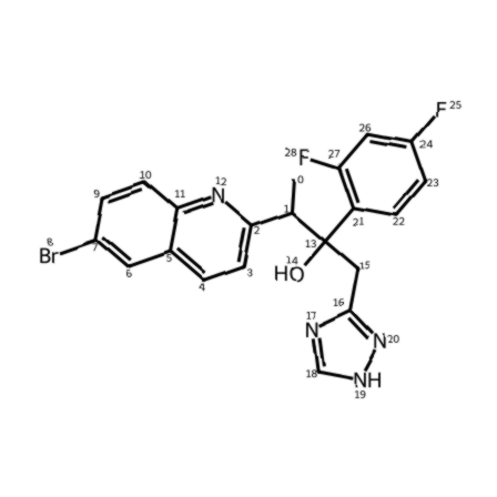 CC(c1ccc2cc(Br)ccc2n1)C(O)(Cc1nc[nH]n1)c1ccc(F)cc1F